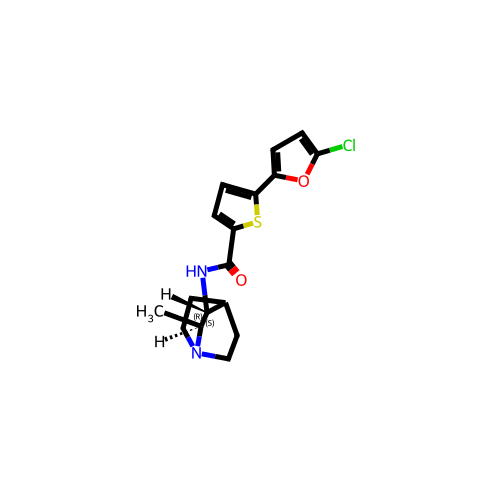 C[C@H]1[C@H](NC(=O)c2ccc(-c3ccc(Cl)o3)s2)C2CCN1CC2